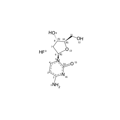 F.Nc1ccn([C@H]2C[C@H](O)[C@@H](CO)O2)c(=O)n1